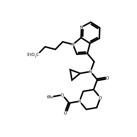 CCOC(=O)CCCn1cc(CN(C(=O)C2CN(C(=O)OC(C)(C)C)CCO2)C2CC2)c2cccnc21